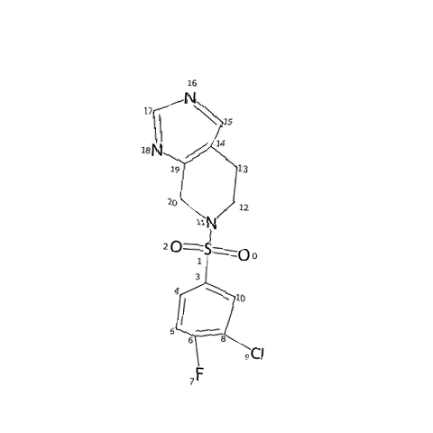 O=S(=O)(c1ccc(F)c(Cl)c1)N1CCc2[c]ncnc2C1